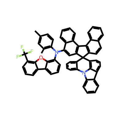 Cc1ccc(N(c2cc3c(c4ccccc24)-c2c(ccc4ccccc24)C32c3ccccc3-n3c4ccccc4c4cccc2c43)c2cccc3c2oc2c(C(F)(F)F)cccc23)c(C)c1